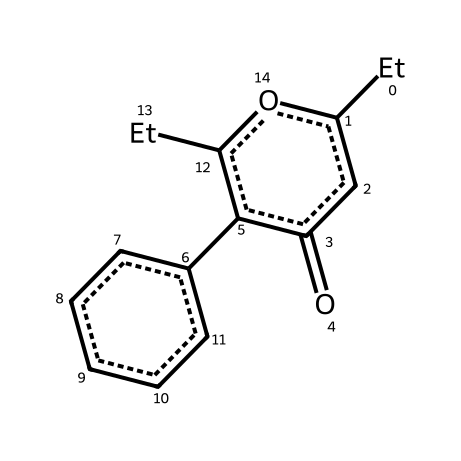 CCc1cc(=O)c(-c2ccccc2)c(CC)o1